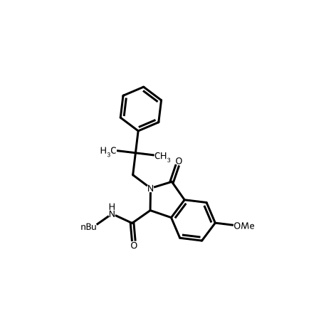 CCCCNC(=O)C1c2ccc(OC)cc2C(=O)N1CC(C)(C)c1ccccc1